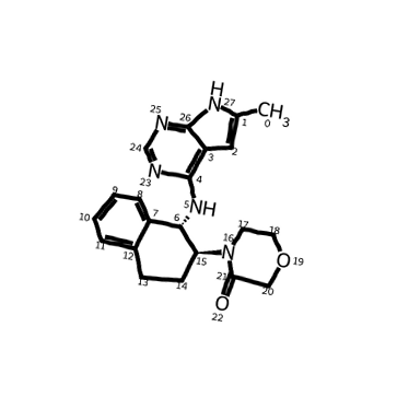 Cc1cc2c(N[C@H]3c4ccccc4CC[C@@H]3N3CCOCC3=O)ncnc2[nH]1